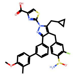 COc1ccc(-c2cccc(-c3nn(-c4nc(C(=O)O)cs4)c(CC4CC4)c3Cc3ccc([S+](N)[O-])c(F)c3)c2)cc1C